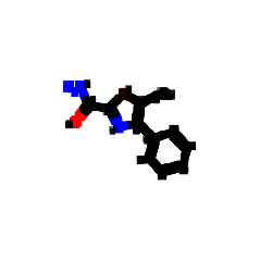 CCC(C)c1sc(C(N)=O)nc1-c1ccccc1